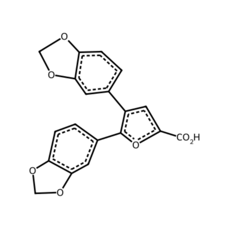 O=C(O)c1cc(-c2ccc3c(c2)OCO3)c(-c2ccc3c(c2)OCO3)o1